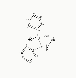 CCCCNC(c1ccccc1)P(=O)(O)c1ccccc1